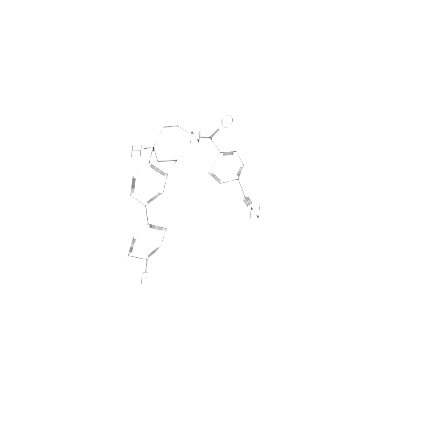 N#Cc1ccc(C(=O)N2CC[C@@H]3CC2c2cc(-c4ccc(F)cc4)ccc23)cc1